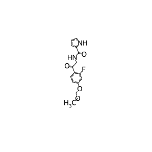 COCOc1ccc(C(=O)CNC(=O)c2ccc[nH]2)c(F)c1